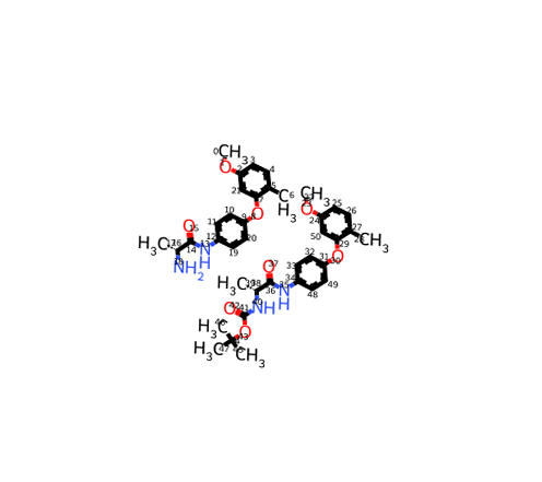 COc1ccc(C)c(Oc2ccc(NC(=O)[C@@H](C)N)cc2)c1.COc1ccc(C)c(Oc2ccc(NC(=O)[C@@H](C)NC(=O)OC(C)(C)C)cc2)c1